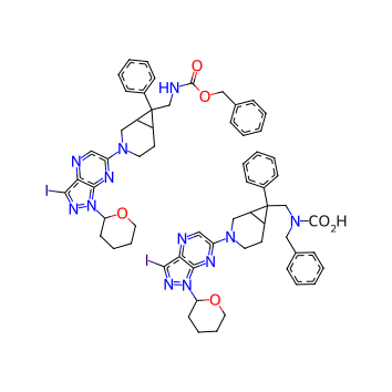 O=C(NCC1(c2ccccc2)C2CCN(c3cnc4c(I)nn(C5CCCCO5)c4n3)CC21)OCc1ccccc1.O=C(O)N(Cc1ccccc1)CC1(c2ccccc2)C2CCN(c3cnc4c(I)nn(C5CCCCO5)c4n3)CC21